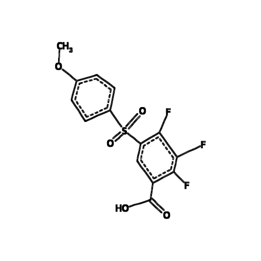 COc1ccc(S(=O)(=O)c2cc(C(=O)O)c(F)c(F)c2F)cc1